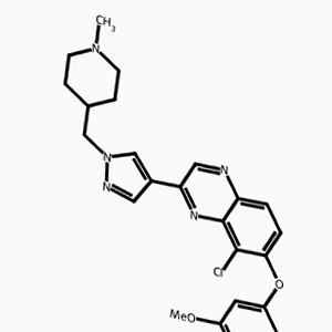 COc1cc(Oc2ccc3ncc(-c4cnn(CC5CCN(C)CC5)c4)nc3c2Cl)ccn1